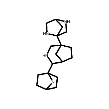 C1NC2(C34CCC(C3)C(C35CCC(CC3)N5)NC4)CNC1C2